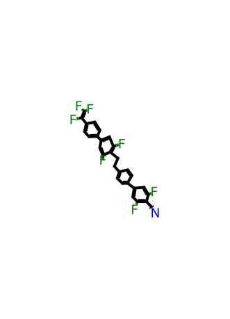 N#Cc1c(F)cc(-c2ccc(CCc3c(F)cc(-c4ccc(C(F)=C(F)F)cc4)cc3F)cc2)cc1F